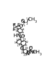 C/C=C/C(=O)COc1ccc(NC(=O)c2cccc3c(Oc4ccnc(C(=O)NC)c4)cccc23)cc1C(F)(F)F